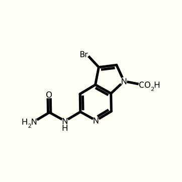 NC(=O)Nc1cc2c(Br)cn(C(=O)O)c2cn1